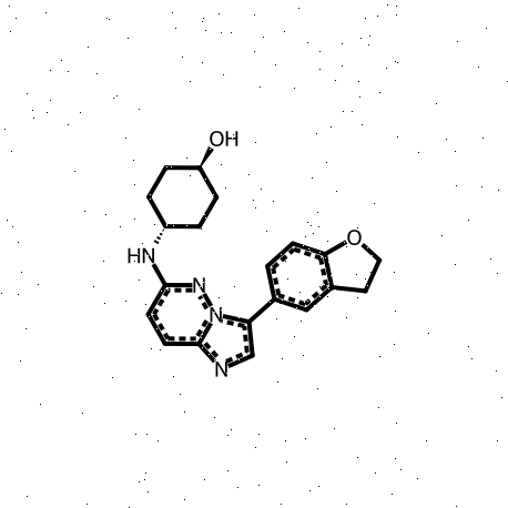 O[C@H]1CC[C@H](Nc2ccc3ncc(-c4ccc5c(c4)CCO5)n3n2)CC1